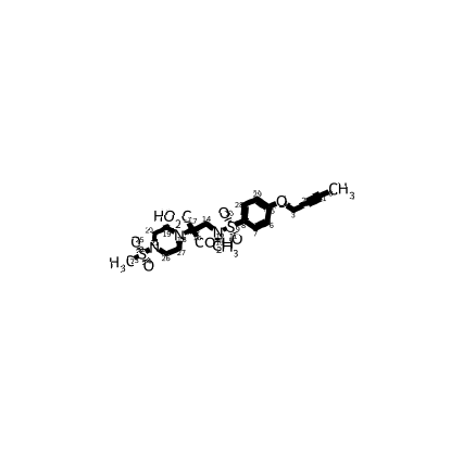 CC#CCOc1ccc(S(=O)(=O)N(C)CC(C(=O)O)(C(=O)O)N2CCN(S(C)(=O)=O)CC2)cc1